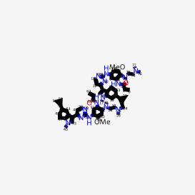 C=CC(=O)Nc1cc(Nc2nccc(-c3cn(C)c4cc(C5CC5CN(C)CCN(C)c5cc(OC)c(Nc6nccc(-c7cn(C)c8ccc(C9CC9)cc78)n6)cc5NC(=O)C=C)ccc34)n2)c(OC)cc1N(C)CCN(C)C